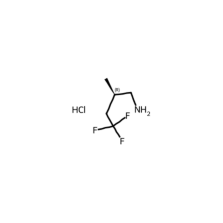 C[C@@H](CN)CC(F)(F)F.Cl